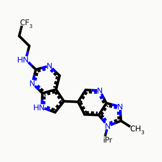 Cc1nc2ncc(-c3c[nH]c4nc(NCCC(F)(F)F)ncc34)cc2n1C(C)C